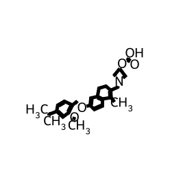 COc1cc(C(C)C)ccc1COc1ccc2c(c1)CCC(CN1CC(OC(=O)O)C1)=C2C